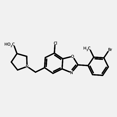 Cc1c(Br)cccc1-c1nc2cc(CN3CCC(C(=O)O)C3)cc(Cl)c2o1